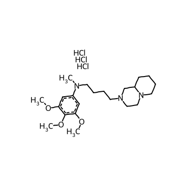 COc1cc(N(C)CCCCN2CCN3CCCCC3C2)cc(OC)c1OC.Cl.Cl.Cl